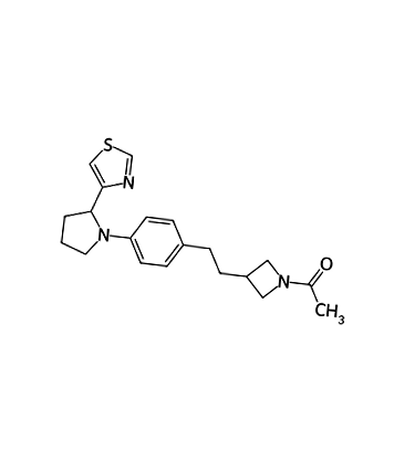 CC(=O)N1CC(CCc2ccc(N3CCCC3c3cscn3)cc2)C1